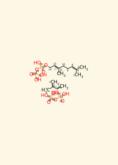 C=CC(=C)C.CC(C)=CCC/C(C)=C/COP(=O)(O)OP(=O)(O)O.O=P(O)(O)OP(=O)(O)O